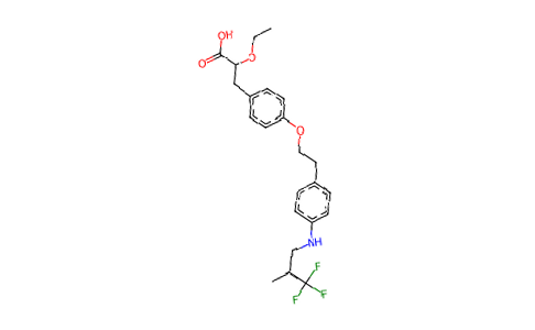 CCOC(Cc1ccc(OCCc2ccc(NCC(C)C(F)(F)F)cc2)cc1)C(=O)O